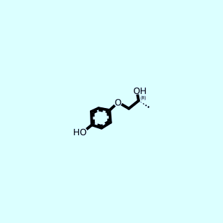 C[C@@H](O)COc1ccc(O)cc1